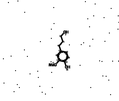 COc1cc(CCCO)ccc1O